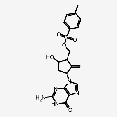 C=C1[C@H](COS(=O)(=O)c2ccc(C)cc2)C(O)C[C@@H]1n1cnc2c(=O)[nH]c(N)nc21